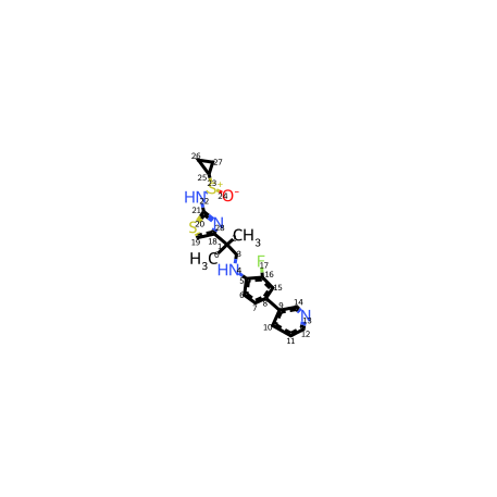 CC(C)(CNc1ccc(-c2cccnc2)cc1F)c1csc(N[S+]([O-])C2CC2)n1